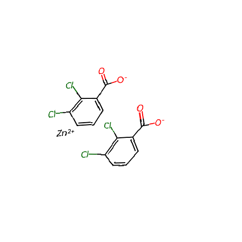 O=C([O-])c1cccc(Cl)c1Cl.O=C([O-])c1cccc(Cl)c1Cl.[Zn+2]